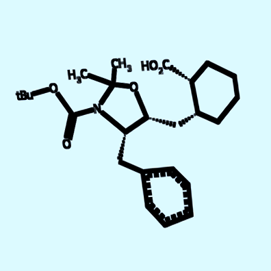 CC(C)(C)OC(=O)N1[C@@H](Cc2ccccc2)[C@@H](C[C@H]2CCCC[C@H]2C(=O)O)OC1(C)C